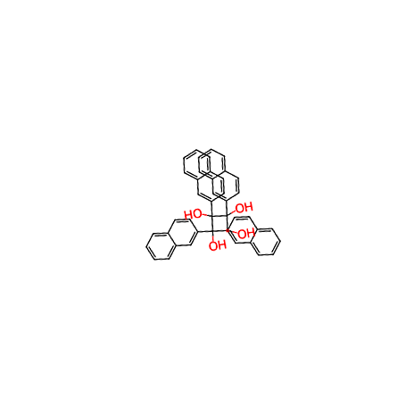 OCC(O)(c1ccc2ccccc2c1)C(O)(c1ccc2ccccc2c1)C(O)(c1ccc2ccccc2c1)c1ccc2ccccc2c1